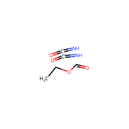 CCOC=O.N=C=O.N=C=O